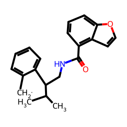 [CH2]c1ccccc1C(CNC(=O)c1cccc2occc12)C(C)C